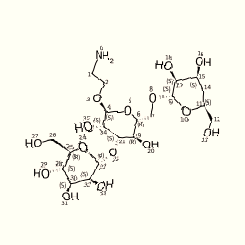 NCCO[C@H]1O[C@H](CO[C@H]2O[C@H](CO)C[C@H](O)[C@@H]2O)[C@@H](O)[C@H](O[C@H]2O[C@H](CO)[C@@H](O)[C@H](O)[C@@H]2O)[C@@H]1O